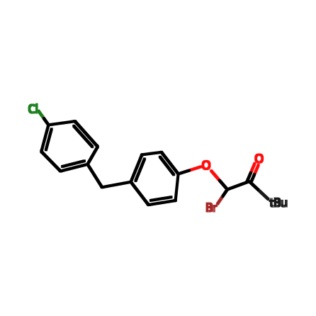 CC(C)(C)C(=O)C(Br)Oc1ccc(Cc2ccc(Cl)cc2)cc1